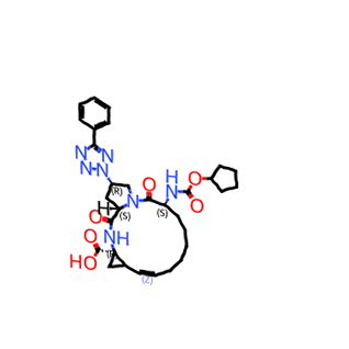 O=C(N[C@H]1CCCCC/C=C\C2C[C@@]2(C(=O)O)NC(=O)[C@@H]2C[C@@H](n3nnc(-c4ccccc4)n3)CN2C1=O)OC1CCCC1